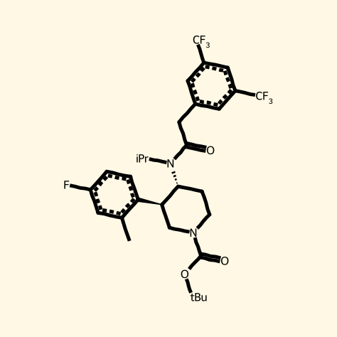 Cc1cc(F)ccc1[C@@H]1CN(C(=O)OC(C)(C)C)CC[C@H]1N(C(=O)Cc1cc(C(F)(F)F)cc(C(F)(F)F)c1)C(C)C